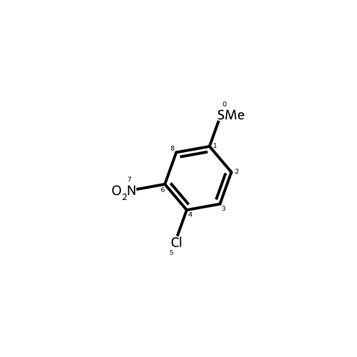 CSc1ccc(Cl)c([N+](=O)[O-])c1